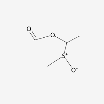 CC(O[C]=O)[S+](C)[O-]